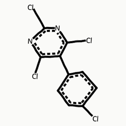 Clc1ccc(-c2c(Cl)nc(Cl)nc2Cl)cc1